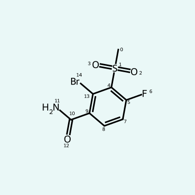 CS(=O)(=O)c1c(F)ccc(C(N)=O)c1Br